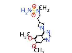 COc1cc2ncnc(N3CC(CCN(C)S(N)(=O)=O)C3)c2cc1OC